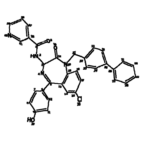 O=C(NC1N=C(c2ccc(O)cc2)c2cc(Cl)ccc2N(Cc2ccc(-c3ccccc3)cc2)C1=O)c1cccnc1